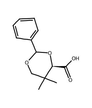 CC1(C)COC(c2ccccc2)O[C@H]1C(=O)O